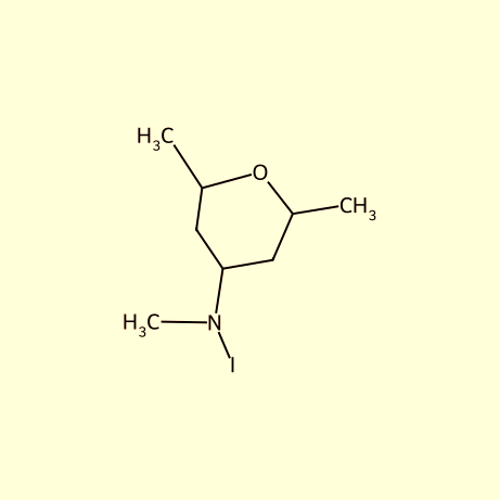 CC1CC(N(C)I)CC(C)O1